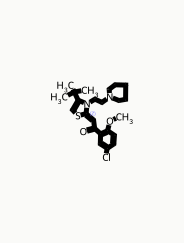 COc1ccc(Cl)cc1C(=O)/C=C1\SC=C(C(C)(C)C)N1CCN1CCCCC1